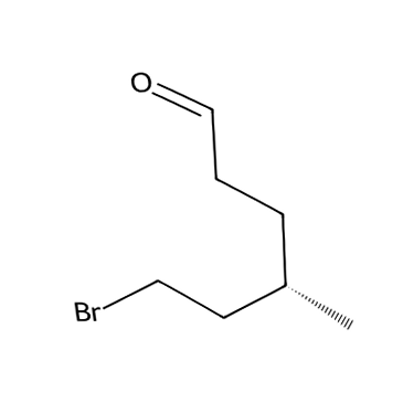 C[C@H](CCBr)CCC=O